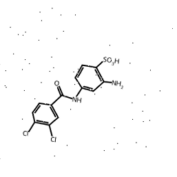 Nc1cc(NC(=O)c2ccc(Cl)c(Cl)c2)ccc1S(=O)(=O)O